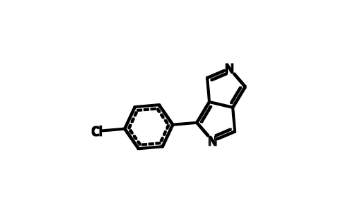 Clc1ccc(C2=C3C=NC=C3C=N2)cc1